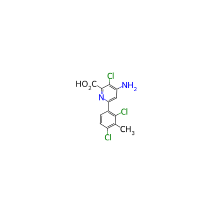 Cc1c(Cl)ccc(-c2cc(N)c(Cl)c(C(=O)O)n2)c1Cl